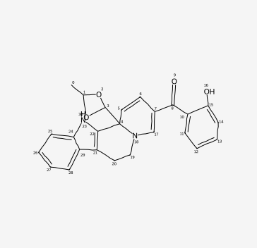 CC1OC(C23C=CC(C(=O)c4ccccc4O)=CN2CCc2c3[nH]c3ccccc23)O1